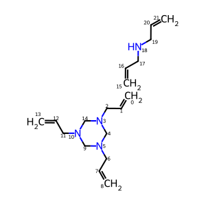 C=CCN1CN(CC=C)CN(CC=C)C1.C=CCNCC=C